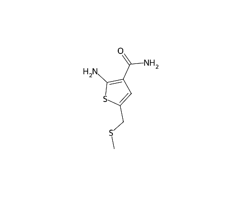 CSCc1cc(C(N)=O)c(N)s1